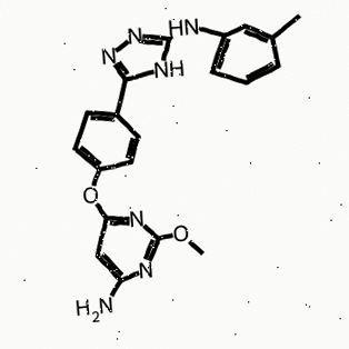 COc1nc(N)cc(Oc2ccc(-c3nnc(Nc4cccc(C)c4)[nH]3)cc2)n1